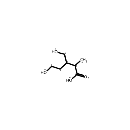 CC(C(=O)O)C(CO)CCO